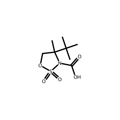 CC(C)(C)C1(C)COS(=O)(=O)N1C(=O)O